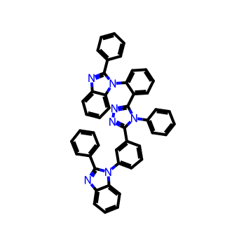 c1ccc(-c2nc3ccccc3n2-c2cccc(-c3nnc(-c4ccccc4-n4c(-c5ccccc5)nc5ccccc54)n3-c3ccccc3)c2)cc1